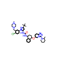 CC1CCCCN1c1nnc2ccc(O[C@@H]3CC[C@H](NC(=O)Nc4cc(C(C)(C)C)nn4-c4ccc(Cl)c(CN5CCN(C)CC5)c4)c4ccccc43)cn12